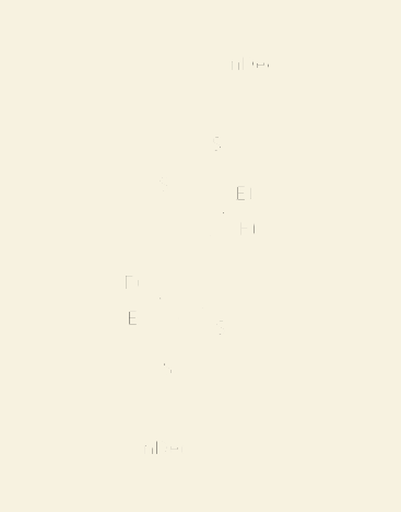 CCCCCCCCCCCCc1cc2sc3c(c2s1)C(CC)(CC)c1cc2c(cc1-3)C(CC)(CC)c1c-2sc2cc(CCCCCCCCCCCC)sc12